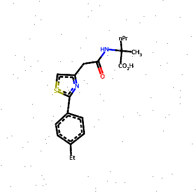 CCCC(C)(NC(=O)Cc1csc(-c2ccc(CC)cc2)n1)C(=O)O